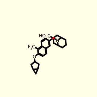 O=C(O)C1CC2CCCC(C1)N2Cc1ccc2c(C(F)(F)F)c(OC3CC4CC4C3)ccc2c1